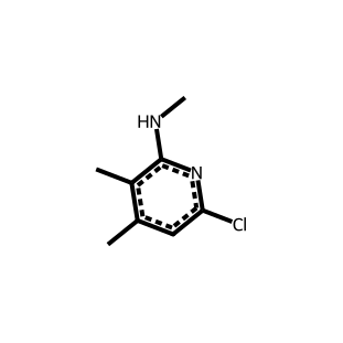 CNc1nc(Cl)cc(C)c1C